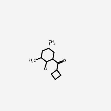 CC1C[C@H](C)CC(C(=O)C2CCC2)C1Cl